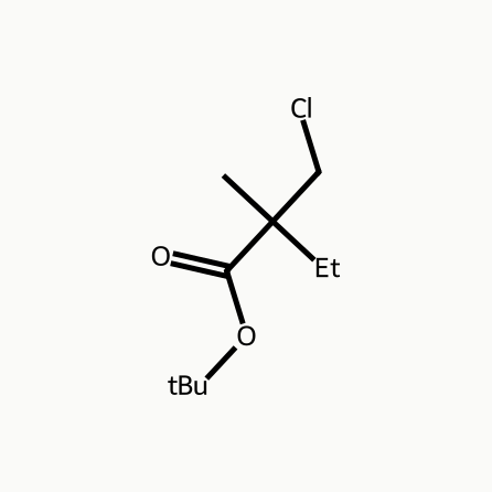 CCC(C)(CCl)C(=O)OC(C)(C)C